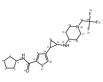 O=C(NC1CCCC1)c1cc(C2CC2NC2CCN(CC(F)(F)F)CC2)cs1